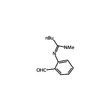 CCCC/C(=N/c1ccccc1C=O)NC